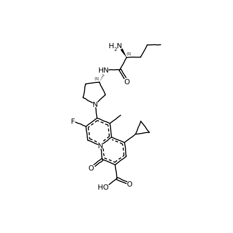 CCC[C@H](N)C(=O)N[C@H]1CCN(c2c(F)cn3c(=O)c(C(=O)O)cc(C4CC4)c3c2C)C1